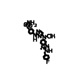 CN(c1ccc2c(c1)nc(NCc1ccc(F)cc1)n2C)c1ccnc(Nc2ccc(CS(N)(=O)=O)cc2)n1.Cl